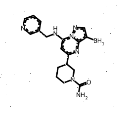 Bc1cnn2c(NCc3cccnc3)cc(C3CCCN(C(N)=O)C3)nc12